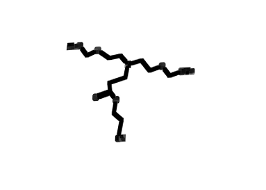 COCOCCN(CCOCOC)CCC(=O)OCCC#N